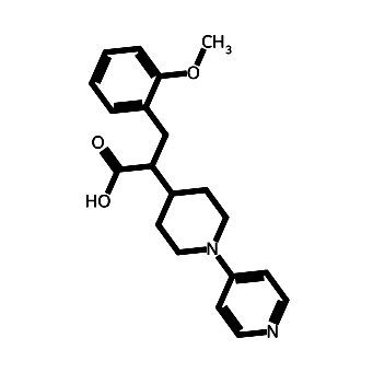 COc1ccccc1CC(C(=O)O)C1CCN(c2ccncc2)CC1